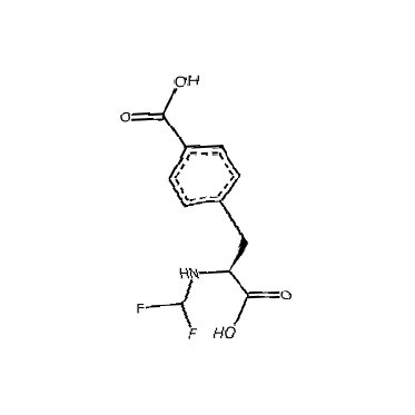 O=C(O)c1ccc(C[C@H](NC(F)F)C(=O)O)cc1